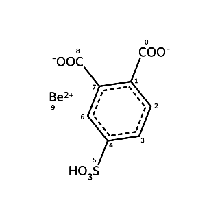 O=C([O-])c1ccc(S(=O)(=O)O)cc1C(=O)[O-].[Be+2]